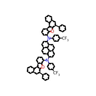 FC(F)(F)c1ccc(N(c2ccc3ccc4c(N(c5ccc(C(F)(F)F)cc5)c5cccc6c5oc5c(-c7ccccc7)cc7ccccc7c56)ccc5ccc2c3c54)c2cccc3c2oc2c(-c4ccccc4)cc4ccccc4c23)cc1